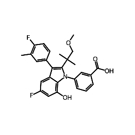 COCC(C)(C)c1c(-c2ccc(F)c(C)c2)c2cc(F)cc(O)c2n1-c1cccc(C(=O)O)c1